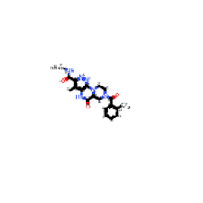 CCCCCCNC(=O)c1nnc2c(c1C)NC(=O)C1CN(C(=O)c3ccccc3C(F)(F)F)CCN21